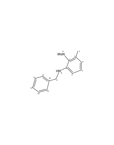 CNc1c(C)cccc1NCc1ccccc1